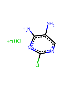 Cl.Cl.Nc1cnc(Cl)nc1N